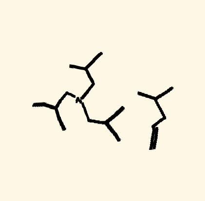 C=CCC(C)C.CC(C)[CH2][Al]([CH2]C(C)C)[CH2]C(C)C